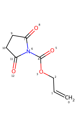 C=CCOC(=O)N1C(=O)CCC1=O